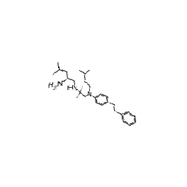 CC(C)CCN(CC(C)(C)NC[C@@H](N)CC(C)C)c1ccc(CCc2ccccc2)cc1